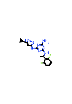 CC(Nc1nc(N)nc(Nc2cc(C3CC3)[nH]n2)n1)c1c(F)cccc1F